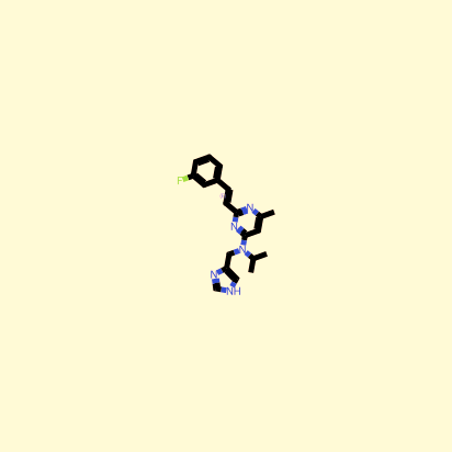 Cc1cc(N(Cc2c[nH]cn2)C(C)C)nc(/C=C/c2cccc(F)c2)n1